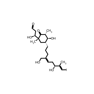 C/C(=C\I)[C@@H](O)C/C=C(/CO)CCC[C@@H]1C[C@](C)([C@@H](O)CC=O)C(=O)[C@H](C)[C@H]1O